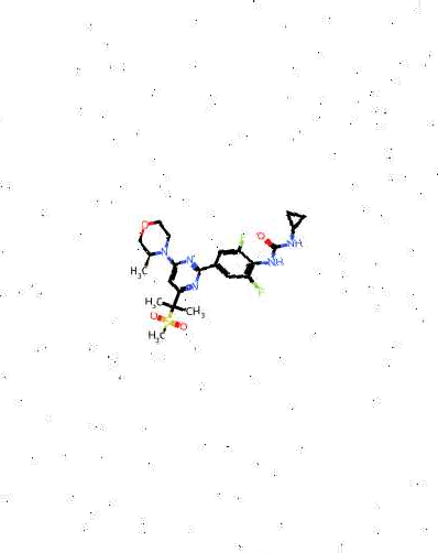 C[C@H]1COCCN1c1cc(C(C)(C)S(C)(=O)=O)nc(-c2cc(F)c(NC(=O)NC3CC3)c(F)c2)n1